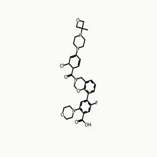 CC1(N2CCN(C3=CC(Cl)C(C(=O)N4COc5c(cccc5-c5cc(N6CCOCC6)c(C(=O)O)cc5F)C4)C=C3)CC2)COC1